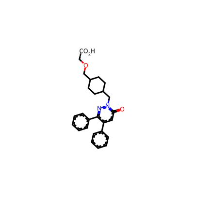 O=C(O)COCC1CCC(Cn2nc(-c3ccccc3)c(-c3ccccc3)cc2=O)CC1